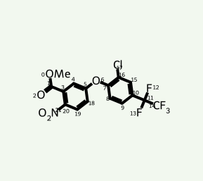 COC(=O)c1cc(Oc2ccc(C(F)(F)C(F)(F)F)cc2Cl)ccc1[N+](=O)[O-]